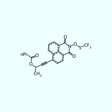 CCCC(=O)OC(C)C#Cc1ccc2c3c(cccc13)C(=O)N(OSC(F)(F)F)C2=O